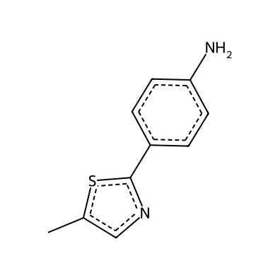 Cc1cnc(-c2ccc(N)cc2)s1